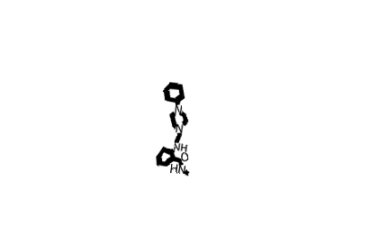 CNC(=O)c1ccccc1NCCN1CCN(c2ccccc2)CC1